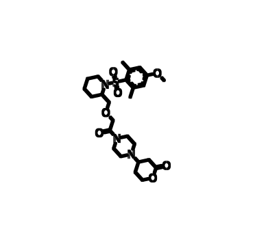 COc1cc(C)c(S(=O)(=O)N2CCCCC2COCC(=O)N2CCN(C3CCOC(=O)C3)CC2)c(C)c1